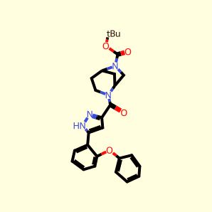 CC(C)(C)OC(=O)N1CC2CC1CCN2C(=O)c1cc(-c2ccccc2Oc2ccccc2)[nH]n1